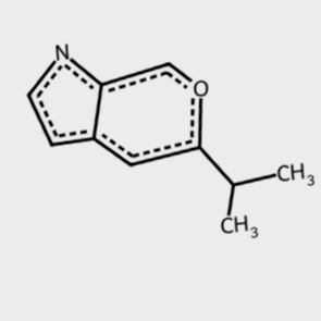 CC(C)c1cc2ccnc-2co1